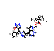 CC(C)(C)C(=O)OCn1ccc2c(-c3cnn(C(CC(N)=O)C4CCCC4)c3)ncnc21